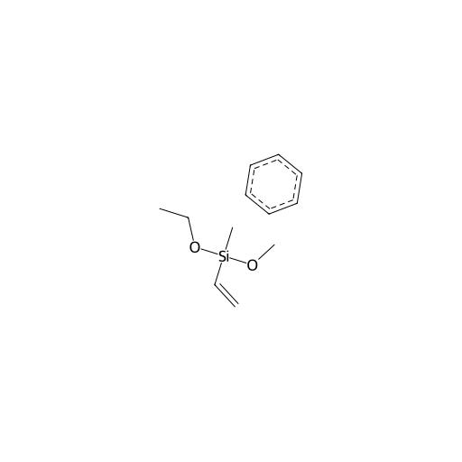 C=C[Si](C)(OC)OCC.c1ccccc1